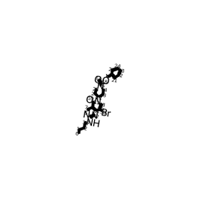 CCCCNc1ncc2c(=O)n(C3CCN(C(=O)OCc4ccccc4)CC3)cc(Br)c2n1